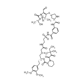 CCC(C)(C)C(=O)C(=O)N1CCCC[C@H]1C(=O)O[C@H](CCc1ccc(OC)c(OC)c1)COCC(=O)NCCS(=O)(=O)NC(=O)c1cccc(NC(=O)[C@@H]2C[C@H](SC3=C(C=O)N4C(=O)[C@H]([C@@H](C)O)[C@H]4[C@H]3C)CN2)c1